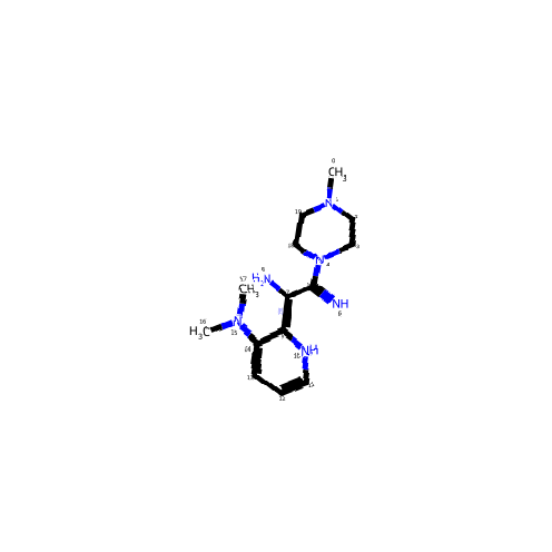 CN1CCN(C(=N)/C(N)=C2\NC=CC=C2N(C)C)CC1